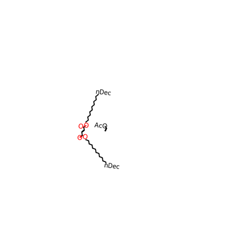 C=COC(C)=O.CCCCCCCCCCCCCCCCCCCCCCOC(=O)C=CC(=O)OCCCCCCCCCCCCCCCCCCCCCC